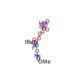 COc1ccc2nc(-c3ccc(-c4ccc(N(CCOCCOc5ccc6c(c5)C(=O)N(C5CCC(=O)NC5=O)C6=O)C(=O)OC(C)(C)C)nc4F)cc3)cn2c1